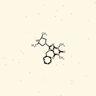 CC1CN(c2nc3c(c(=O)n(C)c(=O)n3C)n2Cc2ccccc2)CC(C)N1